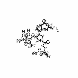 CC(C)OP(=O)(CCC(=O)N1C[C@@H](n2cnc3c(=O)[nH]c(N)nc32)[C@H](OC[C@](C)(O)P(=O)(OC(C)C)OC(C)C)C1)OC(C)C